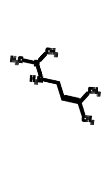 CC(C)=CC[SiH2]N(C)C